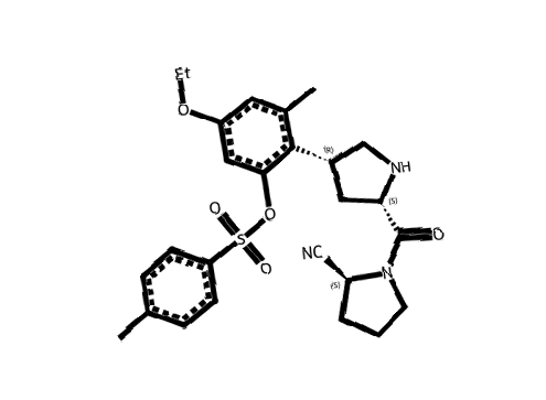 CCOc1cc(C)c([C@@H]2CN[C@H](C(=O)N3CCC[C@H]3C#N)C2)c(OS(=O)(=O)c2ccc(C)cc2)c1